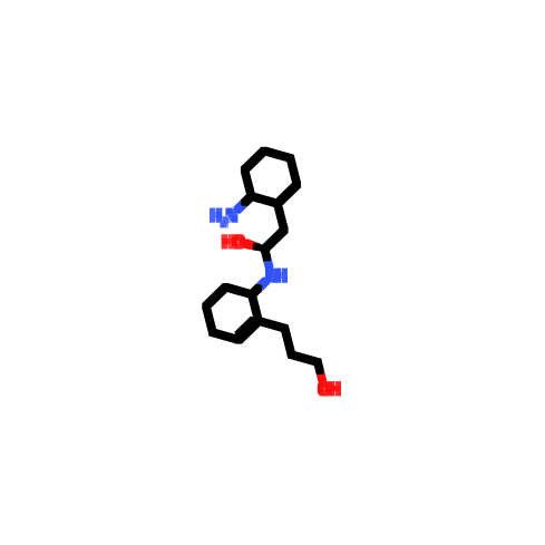 NC1CCCCC1C[C@H](O)NC1CCCC=C1CCCO